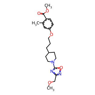 COCc1noc(N2CCC(CCCOc3ccc(C(=O)OC)c(C)c3)CC2)n1